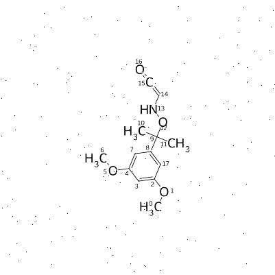 COc1cc(OC)cc(C(C)(C)ONC=C=O)c1